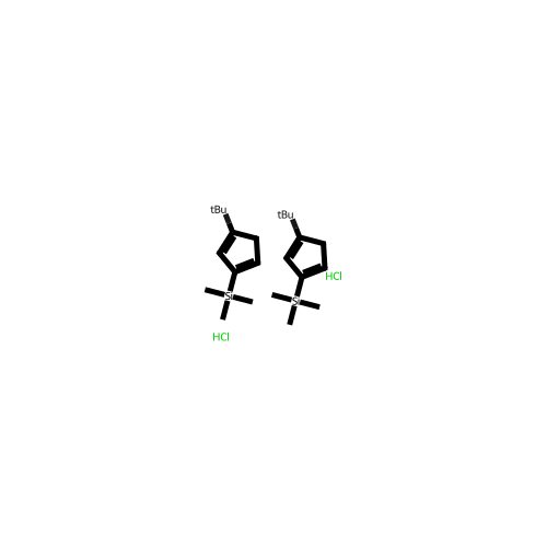 CC(C)(C)C1=CC([Si](C)(C)C)=CC1.CC(C)(C)C1=CC([Si](C)(C)C)=CC1.Cl.Cl